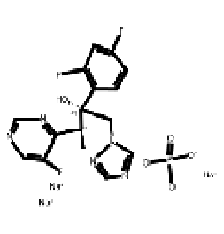 C[C@@H](c1ncncc1F)[C@](O)(Cn1cncn1)c1ccc(F)cc1F.O=P([O-])([O-])[O-].[Na+].[Na+].[Na+]